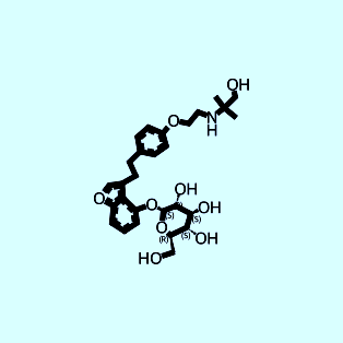 CC(C)(CO)NCCOc1ccc(CCc2coc3cccc(O[C@@H]4O[C@H](CO)[C@@H](O)[C@H](O)[C@H]4O)c23)cc1